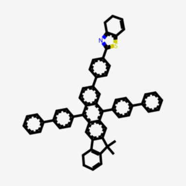 CC1(C)C2=C(CCC=C2)c2cc3c(-c4ccc(-c5ccccc5)cc4)c4ccc(-c5ccc(-c6nc7c(s6)C=CCC7)cc5)cc4c(-c4ccc(-c5ccccc5)cc4)c3cc21